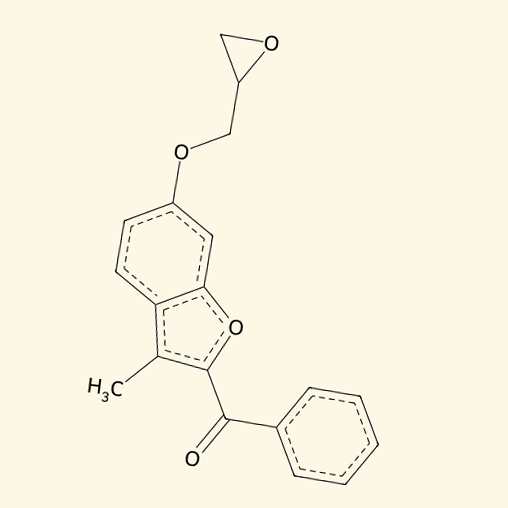 Cc1c(C(=O)c2ccccc2)oc2cc(OCC3CO3)ccc12